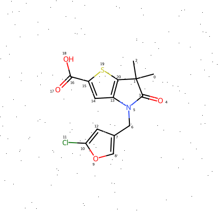 CC1(C)C(=O)N(Cc2coc(Cl)c2)c2cc(C(=O)O)sc21